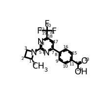 C[C@H]1CCN1c1nc(-c2ccc(C(=O)O)cc2)cc(C(F)(F)F)n1